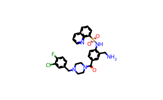 NCc1cc(C(=O)N2CCN(Cc3ccc(F)c(Cl)c3)CC2)ccc1NS(=O)(=O)c1cccc2cccnc12